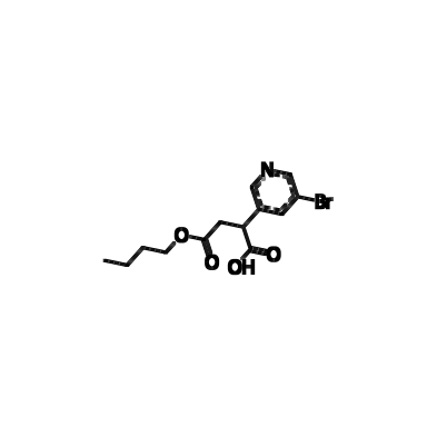 CCCCOC(=O)CC(C(=O)O)c1cncc(Br)c1